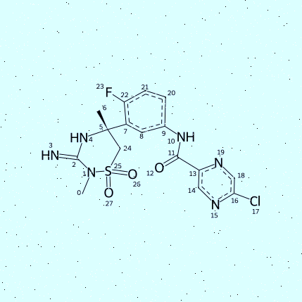 CN1C(=N)N[C@](C)(c2cc(NC(=O)c3cnc(Cl)cn3)ccc2F)CS1(=O)=O